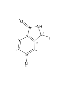 Cn1[nH]c(=O)c2ccc(Cl)cc21